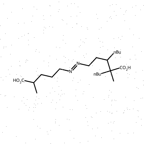 CCCCC(CCN=NCCCC(C)C(=O)O)C(C)(CCCC)C(=O)O